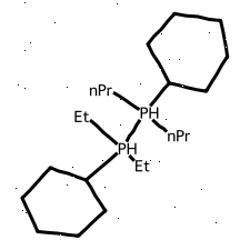 CCC[PH](CCC)(C1CCCCC1)[PH](CC)(CC)C1CCCCC1